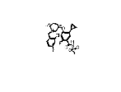 C[C@@H]1CC[C@@H](Oc2cc(F)c(C(=O)NS(C)(=O)=O)cc2C2CC2)CN1Cc1ccc(F)cc1Cl